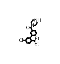 CCC(CC)c1ccc(Cl)cc1-c1cccc(C(=O)N2CCNCC2)c1